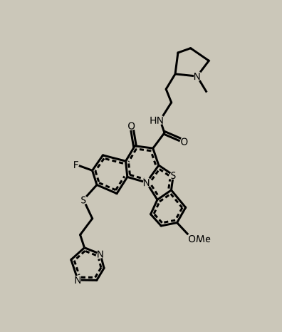 COc1ccc2c(c1)sc1c(C(=O)NCCC3CCCN3C)c(=O)c3cc(F)c(SCCc4cnccn4)cc3n12